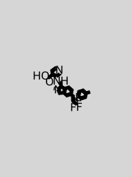 Cc1ccc(N(CC(F)(F)F)c2ccc3c(c2)CN(C)C3CNc2cnccc2C(=O)O)cc1